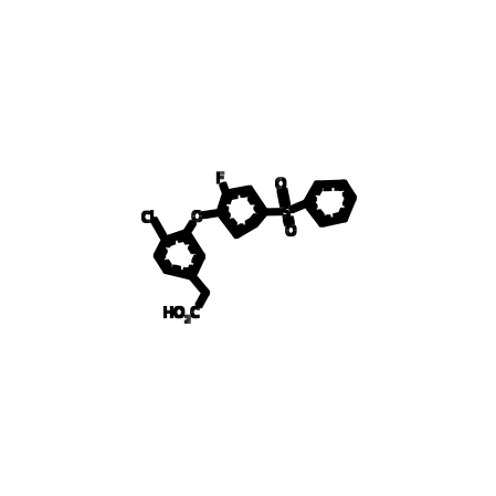 O=C(O)Cc1ccc(Cl)c(Oc2ccc(S(=O)(=O)c3ccccc3)cc2F)c1